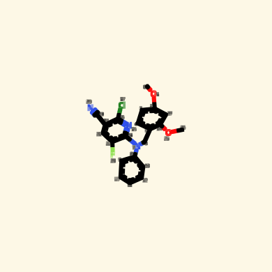 COc1ccc(CN(c2ccccc2)c2nc(Cl)c(C#N)cc2F)c(OC)c1